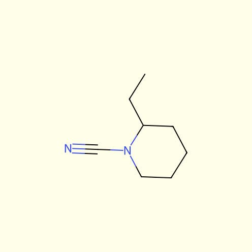 CCC1CCCCN1C#N